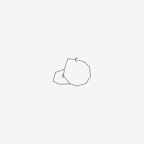 C1CCCC2CCCC(CCC1)S2